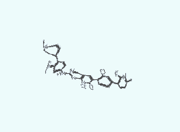 CCn1c(=O)c(-c2ccc(-c3ccc(C)nc3F)cc2Cl)cc2cnc(Nc3ccc(C4CCN(C)CC4)c(F)c3)nc21